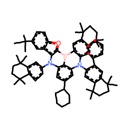 CC(C)(C)c1ccc2oc3c(c2c1)N(c1ccc2c(c1)C(C)(C)CCC2(C)C)c1cc(C2CCCCC2)cc2c1B3c1cc3c(cc1N2c1cc2c(cc1-c1ccccc1)C(C)(C)CCC2(C)C)C(C)(C)CCC3(C)C